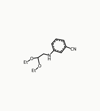 CCOC(CNc1cccc(C#N)c1)OCC